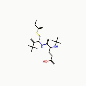 C=C(O)CCC(NC(C)(C)C)C(=C)N[C@@H](CSC(=C)CC)C(=C)C(C)(C)C